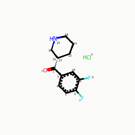 Cl.O=C(c1ccc(F)c(F)c1)[C@H]1CCCNC1